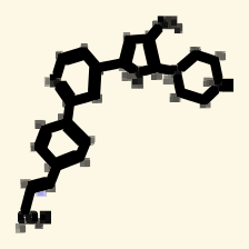 Nc1cc(-c2ccnc(-c3ccc(/C=C/C(=O)O)cc3)c2)[nH]c1N1CCNCC1